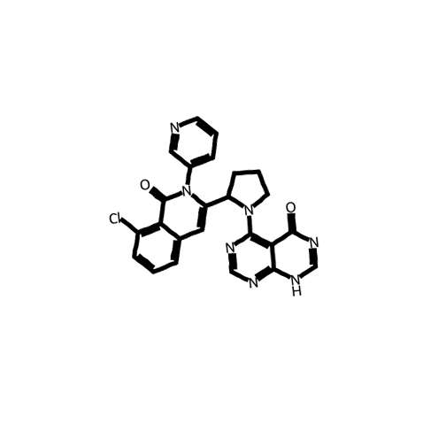 O=c1nc[nH]c2ncnc(N3CCCC3c3cc4cccc(Cl)c4c(=O)n3-c3cccnc3)c12